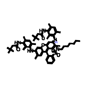 CCCCCCCN(C)S(=O)(=O)c1ccccc1-c1c2cc(C)/c(=N/c3c(C)cc(C)c(NC(=O)CC(C)(C)C)c3C)cc-2oc2cc(Nc3c(C)cc(C)c(NC(=O)CC(C)(C)C)c3C)c(C)cc12